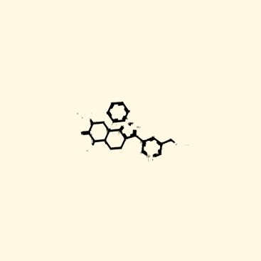 CC1C(=O)C(C#N)C[C@]2(c3ccccc3)c3n[nH]c(-c4cncc(CO)c4)c3CCC12